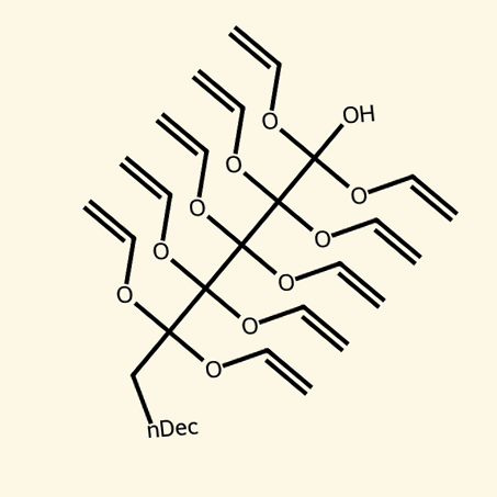 C=COC(O)(OC=C)C(OC=C)(OC=C)C(OC=C)(OC=C)C(OC=C)(OC=C)C(CCCCCCCCCCC)(OC=C)OC=C